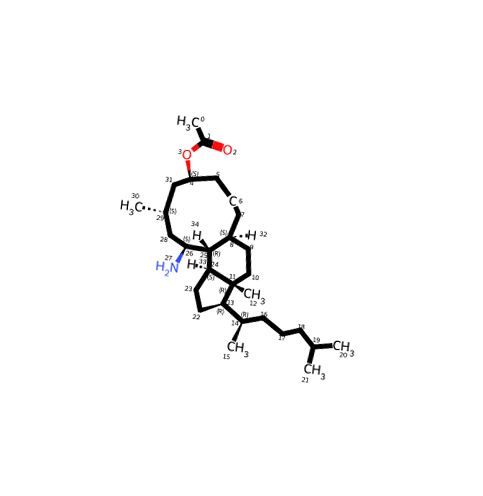 CC(=O)O[C@H]1CCC[C@H]2CC[C@]3(C)[C@@H]([C@H](C)CCCC(C)C)CC[C@H]3[C@@H]2[C@@H](N)C[C@H](C)C1